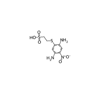 Nc1cc([N+](=O)[O-])c(N)cc1SCCS(=O)(=O)O